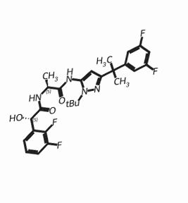 C[C@H](NC(=O)[C@@H](O)c1cccc(F)c1F)C(=O)Nc1cc(C(C)(C)c2cc(F)cc(F)c2)nn1C(C)(C)C